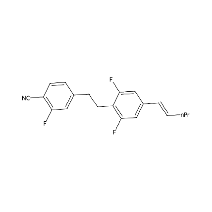 CCCC=Cc1cc(F)c(CCc2ccc(C#N)c(F)c2)c(F)c1